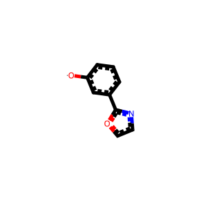 [O]c1cccc(-c2ncco2)c1